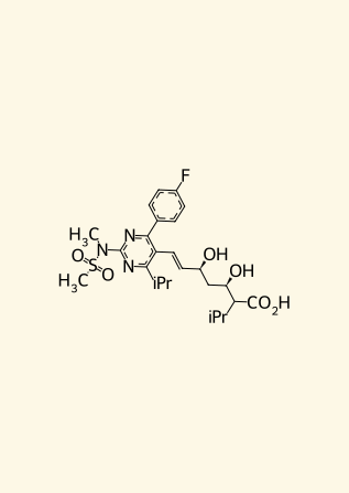 CC(C)c1nc(N(C)S(C)(=O)=O)nc(-c2ccc(F)cc2)c1C=C[C@@H](O)C[C@@H](O)C(C(=O)O)C(C)C